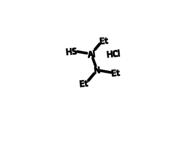 CC[N](CC)[Al]([SH])[CH2]C.Cl